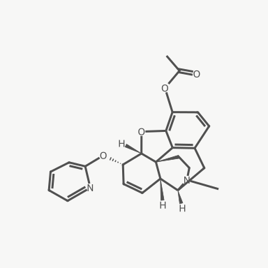 CC(=O)Oc1ccc2c3c1O[C@H]1[C@@H](Oc4ccccn4)C=C[C@H]4[C@@H](C2)N(C)CC[C@@]341